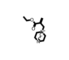 C=C(C[N+]12CCN(CC1)CC2)C(=O)OCC